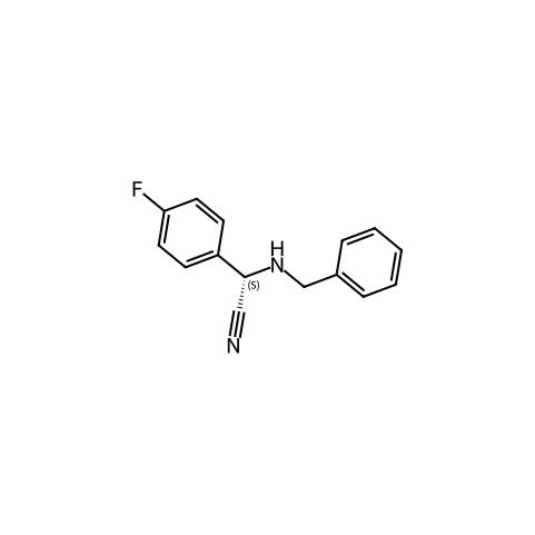 N#C[C@@H](NCc1ccccc1)c1ccc(F)cc1